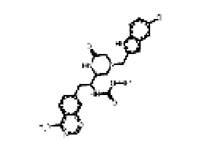 CC(C)OC(=O)NC(Cc1ccc2c(N)ncnc2c1)C1CN(Cc2cc3cc(Cl)ccc3[nH]2)CC(=O)N1